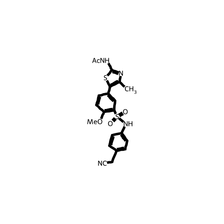 COc1ccc(-c2sc(NC(C)=O)nc2C)cc1S(=O)(=O)Nc1ccc(CC#N)cc1